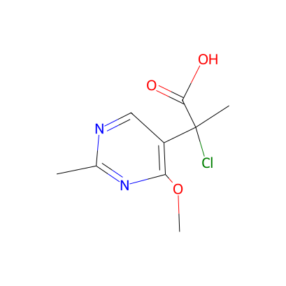 COc1nc(C)ncc1C(C)(Cl)C(=O)O